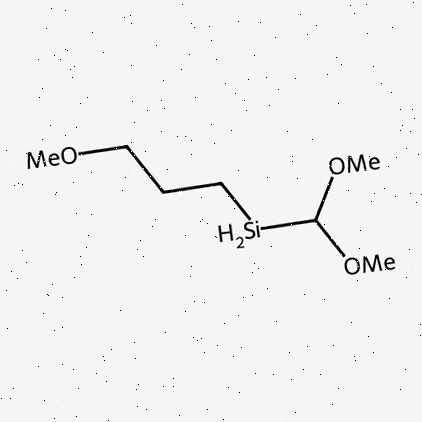 [CH2]OCCC[SiH2]C(OC)OC